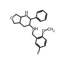 COc1ccc(F)cc1CNC1CC2COCC2NC1c1ccccc1